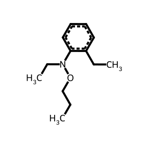 CCCON(CC)c1ccccc1CC